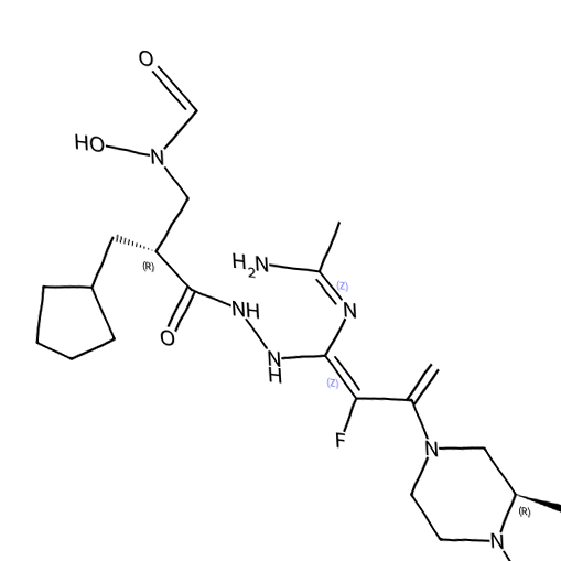 C=C(/C(F)=C(\N=C(\C)N)NNC(=O)[C@H](CC1CCCC1)CN(O)C=O)N1CCN(C)[C@H](C)C1